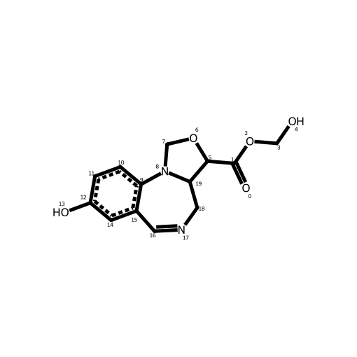 O=C(OCO)C1OCN2c3ccc(O)cc3C=NCC12